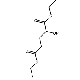 CCOC(=O)CCC(O)C(=O)OCC